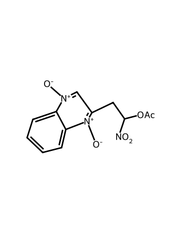 CC(=O)OC(Cc1c[n+]([O-])c2ccccc2[n+]1[O-])[N+](=O)[O-]